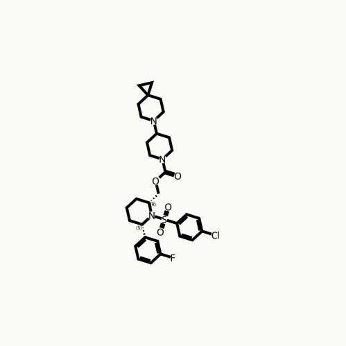 O=C(OC[C@H]1CCC[C@@H](c2cccc(F)c2)N1S(=O)(=O)c1ccc(Cl)cc1)N1CCC(N2CCC3(CC2)CC3)CC1